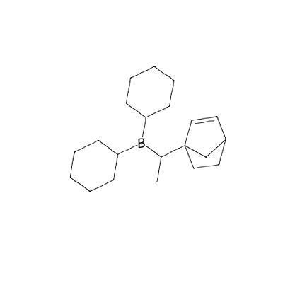 CC(B(C1CCCCC1)C1CCCCC1)C12C=CC(CC1)C2